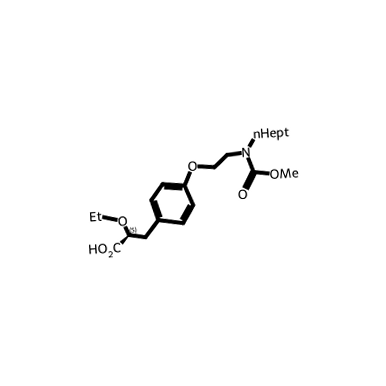 CCCCCCCN(CCOc1ccc(C[C@H](OCC)C(=O)O)cc1)C(=O)OC